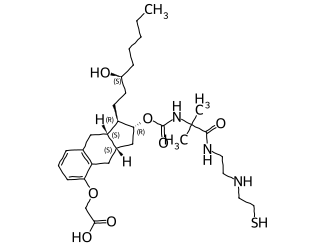 CCCCC[C@H](O)CC[C@@H]1[C@H]2Cc3cccc(OCC(=O)O)c3C[C@H]2C[C@H]1OC(=O)NC(C)(C)C(=O)NCCNCCS